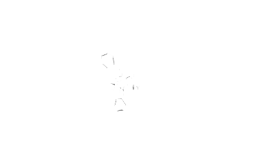 CC(C)C(NP(=O)(Cl)Oc1ccccc1)C(=O)OCc1ccccc1